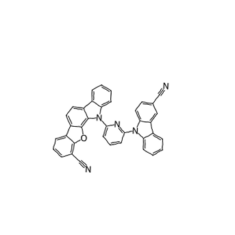 N#Cc1ccc2c(c1)c1ccccc1n2-c1cccc(-n2c3ccccc3c3ccc4c5cccc(C#N)c5oc4c32)n1